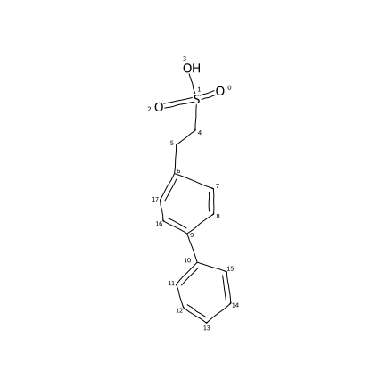 O=S(=O)(O)CCc1ccc(-c2ccccc2)cc1